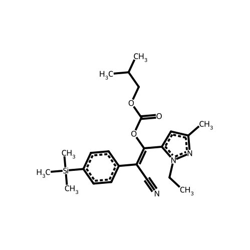 CCn1nc(C)cc1C(OC(=O)OCC(C)C)=C(C#N)c1ccc([Si](C)(C)C)cc1